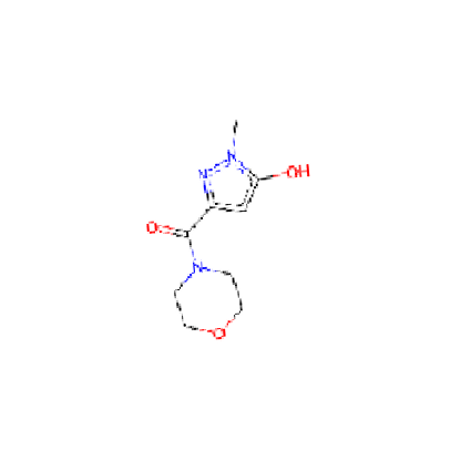 Cn1nc(C(=O)N2CCOCC2)cc1O